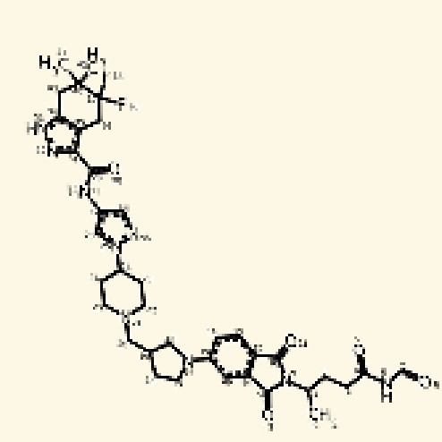 CC(CCC(=O)NC=O)N1C(=O)c2ccc(N3CCC(CN4CCC(n5cc(NC(=O)c6n[nH]c7c6CC(F)(F)C(C)(C)C7)cn5)CC4)C3)cc2C1=O